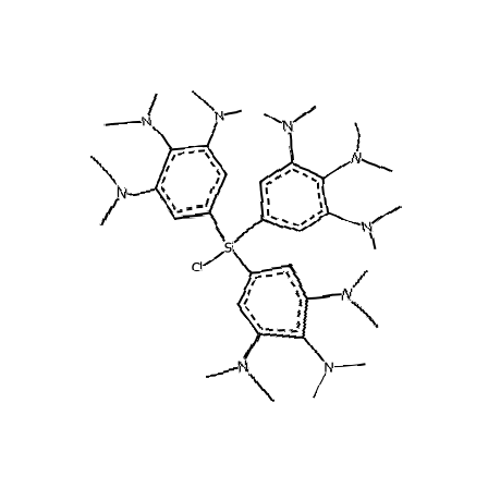 CN(C)c1cc([Si](Cl)(c2cc(N(C)C)c(N(C)C)c(N(C)C)c2)c2cc(N(C)C)c(N(C)C)c(N(C)C)c2)cc(N(C)C)c1N(C)C